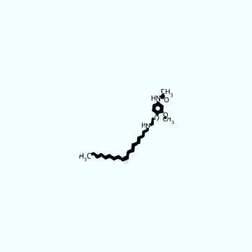 CCCCCCCC/C=C\CCCCCCCCNCCOc1ccc(NC(C)=O)cc1OC